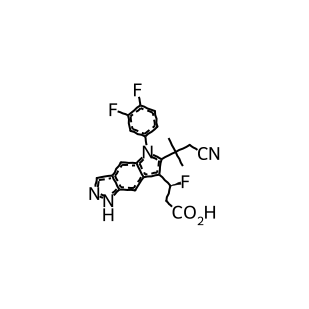 CC(C)(CC#N)c1c([C@@H](F)CC(=O)O)c2cc3[nH]ncc3cc2n1-c1ccc(F)c(F)c1